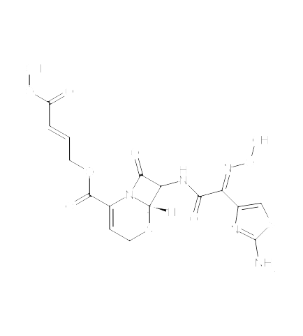 CON=C(C(=O)NC1C(=O)N2C(C(=O)OCC=CC(=O)OC)=CCS[C@@H]12)c1csc(N)n1